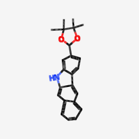 CC1(C)OC(c2ccc3c(c2)[nH]c2cc4ccccc4cc23)OC1(C)C